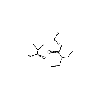 CC(C)C(=O)O.CCC(CC)C(=O)OCCl